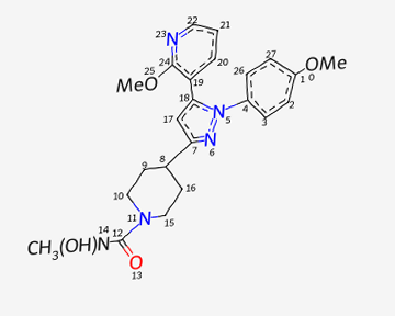 COc1ccc(-n2nc(C3CCN(C(=O)N(C)O)CC3)cc2-c2cccnc2OC)cc1